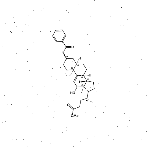 COC(=O)CC[C@@H](C)C1CC[C@H]2[C@@H]3CC[C@@H]4C[C@H](OC(=O)c5ccccc5)CC[C@]4(C)C3=CC(O)[C@]12C